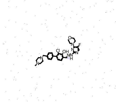 CN1CCN(Cc2ccc(-c3ccc(/C=N/Nc4ncc(F)c(N5CCOCC5)n4)c(O)c3Cl)cc2)CC1